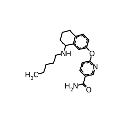 CCCCCNC1CCCc2ccc(Oc3ccc(C(N)=O)cn3)cc21